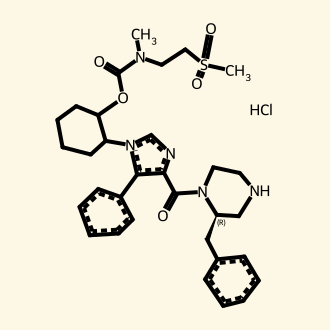 CN(CCS(C)(=O)=O)C(=O)OC1CCCCC1n1cnc(C(=O)N2CCNC[C@H]2Cc2ccccc2)c1-c1ccccc1.Cl